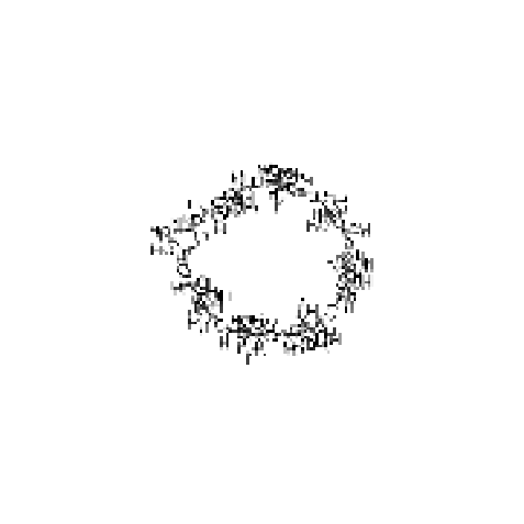 O[C@@H]1[C@@H](O)[C@H]2O[C@H]3[C@H](O)[C@@H](O)[C@@H](O[C@@H]4CO[C@H](O[C@@H]5CO[C@H](O[C@H]6[C@H](O)[C@@H](O)[C@@H](O[C@H]7[C@H](O)C[C@@](O)(O[C@H]8[C@H](O)[C@@H](O)[C@@H](O[C@H]9[C@H](O)[C@@H](O)[C@@H](O[C@@H]1[C@@H](CI)O2)O[C@@H]9CI)O[C@@H]8CI)O[C@@H]7CI)O[C@@H]6CI)[C@H](O)[C@H]5O)[C@H](O)[C@H]4O)O[C@@H]3CI